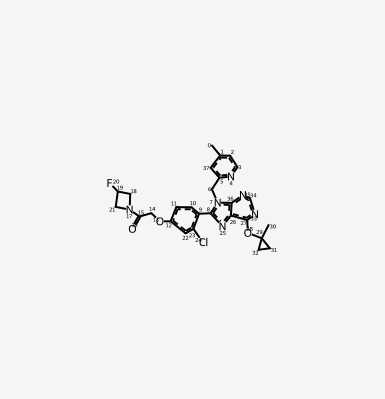 Cc1ccnc(Cn2c(-c3ccc(OCC(=O)N4CC(F)C4)cc3Cl)nc3c(OC4(C)CC4)ncnc32)c1